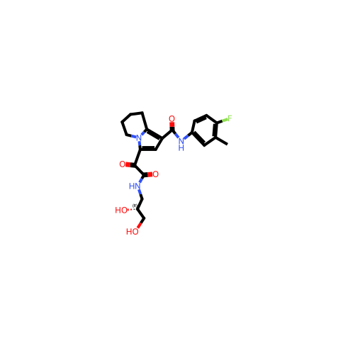 Cc1cc(NC(=O)c2cc(C(=O)C(=O)NC[C@@H](O)CO)n3c2CCCC3)ccc1F